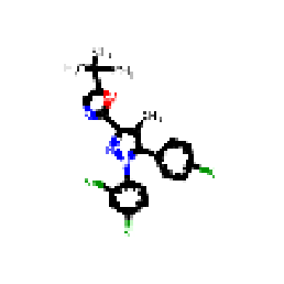 Cc1c(-c2ncc(C(C)(C)C)o2)nn(-c2ccc(Cl)cc2Cl)c1-c1ccc(Cl)cc1